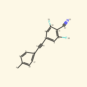 Cc1ccc(C#Cc2cc(F)c(C#N)c(F)c2)cc1